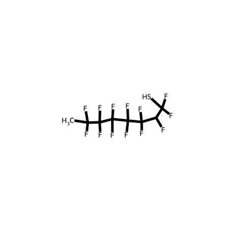 CC(F)(F)C(F)(F)C(F)(F)C(F)(F)C(F)(F)C(F)C(F)(F)S